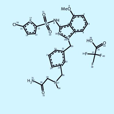 COc1cccc2c1c(NS(=O)(=O)c1ccc(Cl)s1)nn2Cc1cccc(CN(C)CC(N)=O)c1.O=C(O)C(F)(F)F